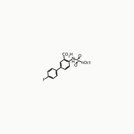 CCCCCCCCS(=O)(=O)Nc1ccc(-c2ccc(F)cc2)cc1C(=O)O